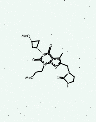 COCCn1c(=O)n([C@H]2C[C@@H](OC)C2)c(=O)c2c(C)c(CN3CCNC3=O)sc21